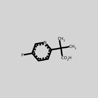 CC(C)(C(=O)O)c1ccc(F)cn1